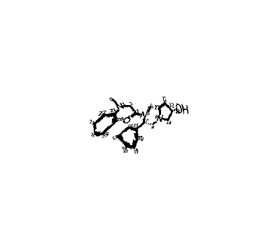 CN(CC(=O)N(C)[C@H](CN1CC[C@H](O)C1)c1ccccc1)c1ccccc1